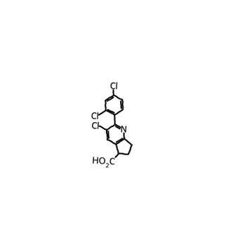 O=C(O)C1CCc2nc(-c3ccc(Cl)cc3Cl)c(Cl)cc21